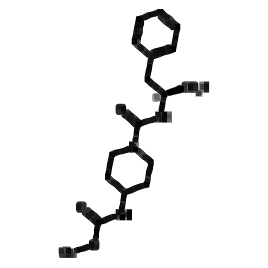 CC(C)(C)OC(=O)NC1CCN(C(=O)N[C@@H](Cc2ccccc2)C(=O)O)CC1